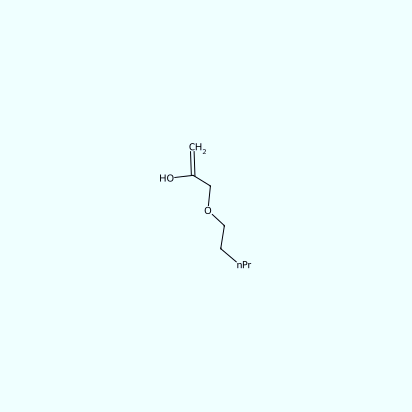 C=C(O)COCCCCC